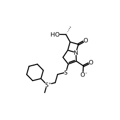 C[C@@H](O)C1C(=O)N2C(C(=O)[O-])=C(SCC[S+](C)C3CCCCC3)CC12